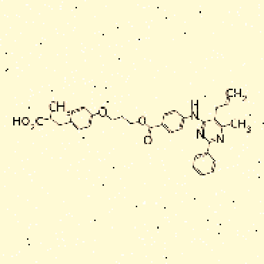 C=CCc1c(C)nc(-c2ccccc2)nc1Nc1ccc(C(=O)OCCCOc2ccc(C[C@H](C)C(=O)O)cc2)cc1